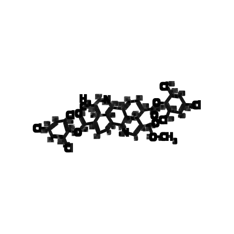 COC(=O)c1cnc2c3ccc(C(=O)Oc4c(Cl)cc(Cl)cc4Cl)c4c(C)cnc(c5ccc(C(=O)Oc6c(Cl)cc(Cl)cc6Cl)c1c52)c43